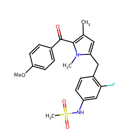 COc1ccc(C(=O)c2c(C)cc(Cc3ccc(NS(C)(=O)=O)cc3F)n2C)cc1